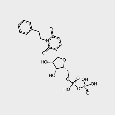 O=c1ccn([C@@H]2O[C@H](COP(=O)(O)OP(=O)(O)O)[C@H](O)[C@@H]2O)c(=O)n1CCc1ccccc1